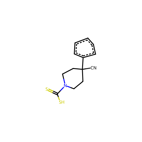 N#CC1(c2ccccc2)CCN(C(=S)S)CC1